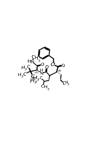 CCC[C@@H](C(=O)OCc1ccccc1)C(CC(C)C)C(=O)N[C@H](C(=O)NC)C(C)(C)C